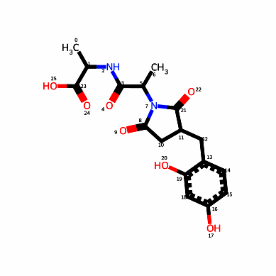 CC(NC(=O)C(C)N1C(=O)CC(Cc2ccc(O)cc2O)C1=O)C(=O)O